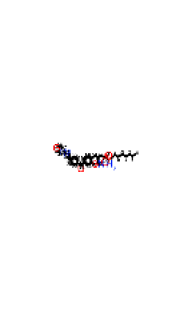 CCCCCCCCOC(=O)CC1Cc2ccc(C(=O)c3ccc(C=NN4CCOCC4)cc3)cc2OC1N